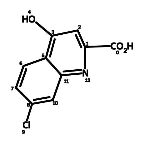 O=C(O)c1cc(O)c2ccc(Cl)cc2n1